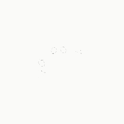 CC(=O)[C@H]1[C@@H]2Cc3cc(OCc4cc(-c5ccc(C6CCN(S(=O)(=O)C7CC7)CC6)cc5)c(C)cc4F)ncc3[C@@H]21